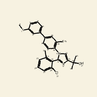 CSc1cccc(-c2ccc(-n3cc(C(C)(C)O)nc3-c3c(C)cccc3Cl)c(F)c2)c1